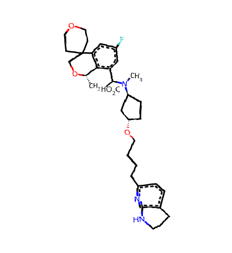 C[C@@H]1OCC2(CCOCC2)c2cc(F)cc(C(C(=O)O)N(C)[C@H]3CC[C@H](OCCCCc4ccc5c(n4)NCCC5)C3)c21